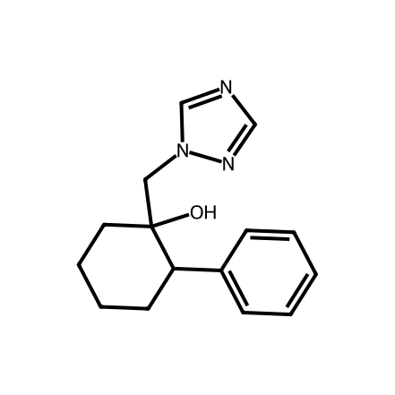 OC1(Cn2cncn2)CCCCC1c1ccccc1